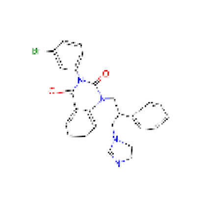 O=c1c2ccccc2n(CC(Cn2ccnc2)c2ccccc2)c(=O)n1-c1cccc(Br)c1